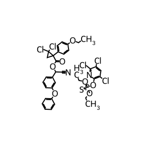 CCOP(=S)(OCC)Oc1nc(Cl)c(Cl)cc1Cl.CCOc1ccc(C2(C(=O)OC(C#N)c3cccc(Oc4ccccc4)c3)CC2(Cl)Cl)cc1